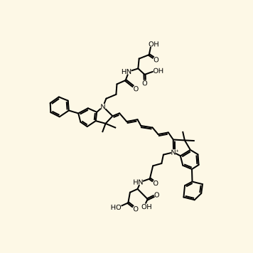 CC1(C)C(/C=C/C=C/C=C/C=C2/N(CCCC(=O)NC(CC(=O)O)C(=O)O)c3cc(-c4ccccc4)ccc3C2(C)C)=[N+](CCCC(=O)NC(CC(=O)O)C(=O)O)c2cc(-c3ccccc3)ccc21